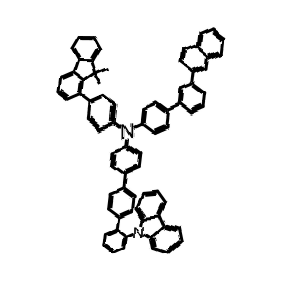 CC1(C)c2ccccc2-c2cccc(-c3ccc(N(c4ccc(-c5ccc(-c6ccccc6-n6c7ccccc7c7ccccc76)cc5)cc4)c4ccc(-c5cccc(-c6ccc7ccccc7c6)c5)cc4)cc3)c21